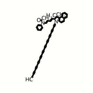 C#CC#CC#CC#CC#CC#CC#CC#CC#CC#CC#C[N+]1=C(/C=C/C=C/N(C(C)=O)c2ccccc2)C(C)(C)c2c1ccc1ccccc21